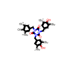 CC(C)(C)c1cc(Cn2c(=O)n(Cc3cc(C(C)(C)C)c(O)c(C(C)(C)C)c3)c(=O)n(Cc3cc(C(C)(C)C)c(N=O)c(C(C)(C)C)c3)c2=O)cc(C(C)(C)C)c1O